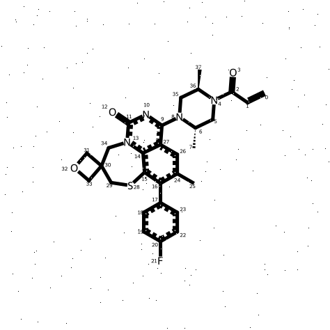 C=CC(=O)N1C[C@H](C)N(c2nc(=O)n3c4c(c(-c5ccc(F)cc5)c(C)cc24)SCC2(COC2)C3)C[C@H]1C